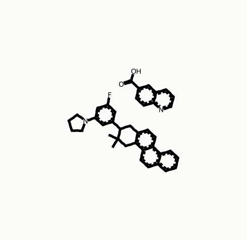 CC1(C)Cc2c(ccc3c2ccc2ccccc23)CC1c1cc(F)cc(N2CCCC2)c1.O=C(O)c1ccc2ncccc2c1